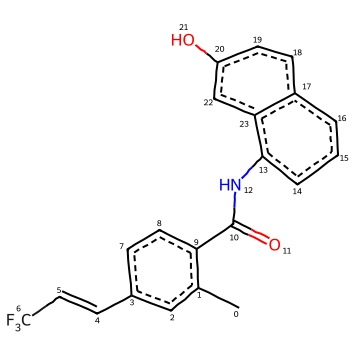 Cc1cc(C=CC(F)(F)F)ccc1C(=O)Nc1cccc2ccc(O)cc12